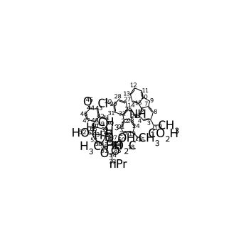 CC(C(=O)O)c1ccc2c(c1)Cc1ccccc1-2.CC(C(=O)O)c1ccc2c(c1)[nH]c1ccc(Cl)cc12.CCCC1O[C@@H]2C[C@H]3[C@@H]4CCC5=CC(=O)C=C[C@]5(C)[C@H]4[C@@H](O)C[C@]3(C)[C@]2(C(=O)CO)O1